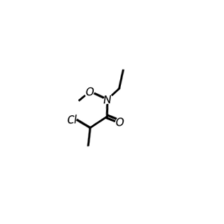 CCN(OC)C(=O)C(C)Cl